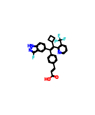 O=C(O)C=Cc1ccc(C(=C(c2ncccc2C(F)(F)F)C2CCC2)c2ccc3[nH]nc(F)c3c2)cc1